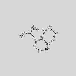 CCCC(CCC)c1ccnc2ccccc12